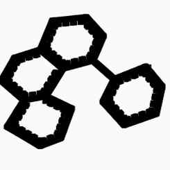 [c]1ccccc1-c1cccc2ccc3ccccc3c12